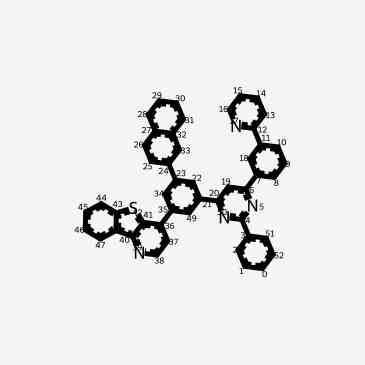 c1ccc(-c2nc(-c3cccc(-c4ccccn4)c3)cc(-c3cc(-c4ccc5ccccc5c4)cc(-c4ccnc5c4sc4ccccc45)c3)n2)cc1